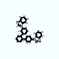 c1cc(-c2ccccc2-c2ccc(-n3cnc4ccccc43)cc2)cc(-n2cnc3ccccc32)c1